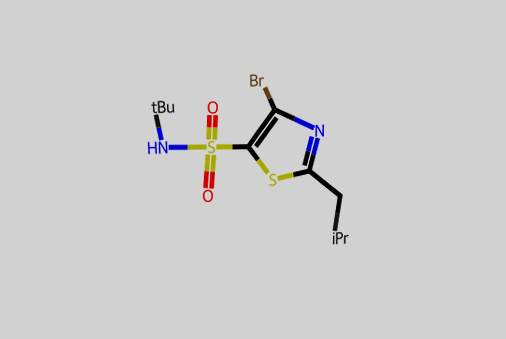 CC(C)Cc1nc(Br)c(S(=O)(=O)NC(C)(C)C)s1